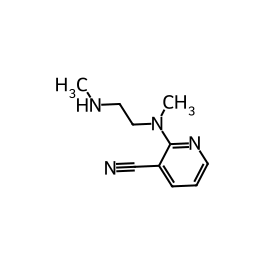 CNCCN(C)c1ncccc1C#N